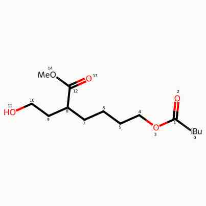 CCC(C)C(=O)OCCCCC(CCO)C(=O)OC